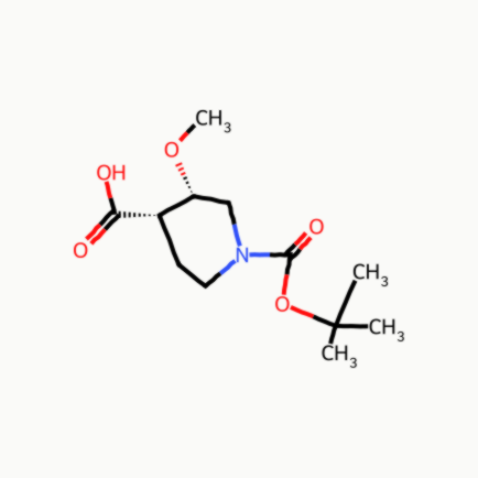 CO[C@@H]1CN(C(=O)OC(C)(C)C)CC[C@@H]1C(=O)O